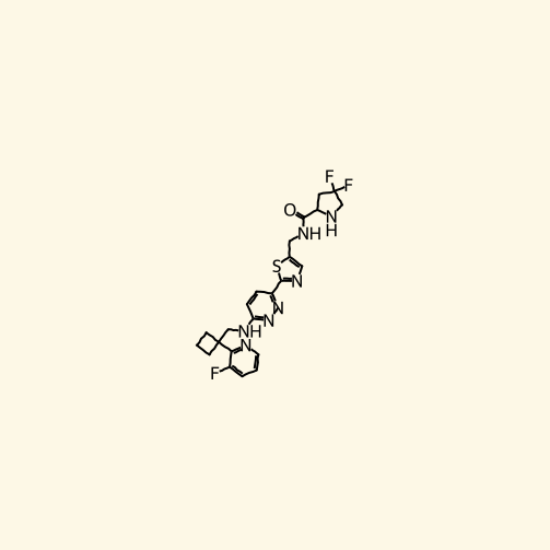 O=C(NCc1cnc(-c2ccc(NCC3(c4ncccc4F)CCC3)nn2)s1)C1CC(F)(F)CN1